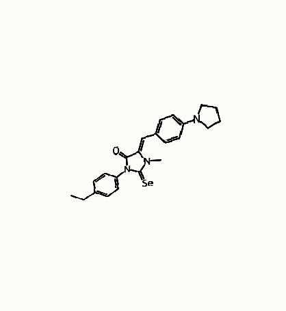 CCc1ccc(N2C(=O)C(=Cc3ccc(N4CCCC4)cc3)N(C)C2=[Se])cc1